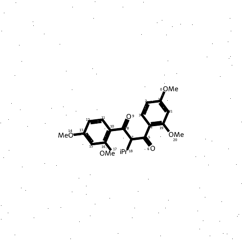 COc1ccc(C(=O)[C](C(=O)c2ccc(OC)cc2OC)C(C)C)c(OC)c1